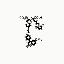 CCOC(=O)/C(=C/N1CCC(OCCOC2=CC=C(c3cc(=O)oc4ccc(OC)cc34)CC2)CC1)C(=O)OC(CCCCN1C(=O)C=CC1=O)C(=O)O